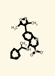 Cc1noc(C)c1-c1ccc2c(N[C@H](C)c3ccccc3)c([N+](=O)[O-])cnc2c1